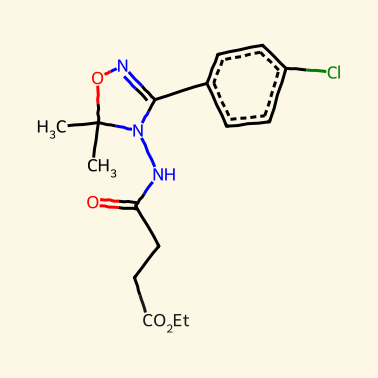 CCOC(=O)CCC(=O)NN1C(c2ccc(Cl)cc2)=NOC1(C)C